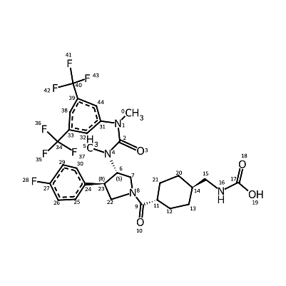 CN(C(=O)N(C)[C@@H]1CN(C(=O)[C@H]2CC[C@H](CNC(=O)O)CC2)C[C@H]1c1ccc(F)cc1)c1cc(C(F)(F)F)cc(C(F)(F)F)c1